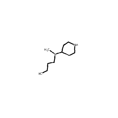 CN(CCCC#N)C1CCNCC1